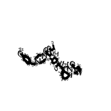 CCC(=O)N[C@H](Cc1ccc(NC(=O)[C@@H](CNC(=O)c2ccnn2C)C2CCCCC2)cc1)C(=O)N1CCN(Cc2ccc(OC)cc2)CC1